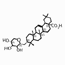 CC1(C)CC[C@]2(C(=O)O)CC[C@]3(C)C(=CCC4[C@@]5(C)CC[C@H](C[C@@H]6OC[C@@H](O)C(O)C6O)C(C)(C)C5CC[C@]43C)C2C1